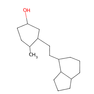 CC1CCC(O)CC1CCC1CCCC2CCCC21